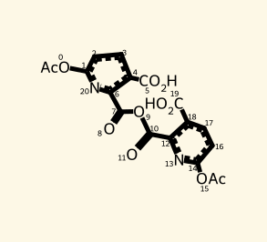 CC(=O)Oc1ccc(C(=O)O)c(C(=O)OC(=O)c2nc(OC(C)=O)ccc2C(=O)O)n1